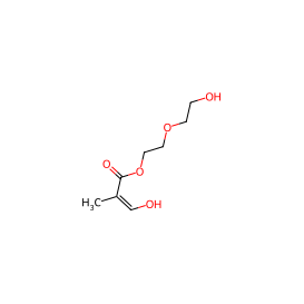 CC(=CO)C(=O)OCCOCCO